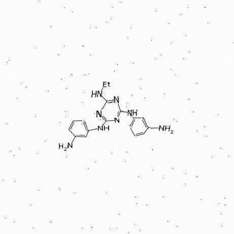 CCNc1nc(Nc2cccc(N)c2)nc(Nc2cccc(N)c2)n1